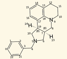 c1ccc(CN2C[C@@H]3CN4CCCc5cccc(c54)[C@@H]3C2)cc1